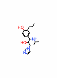 CCCc1cc(C(NC(C)C)C(O)Cn2ccnc2)ccc1O